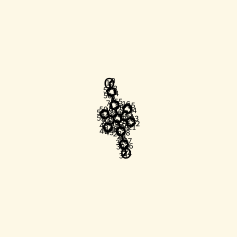 COc1ccc(-c2ccc(-c3c(-c4ccccc4)c(-c4ccccc4)c(-c4ccc(-c5ccc(OC)cc5)cc4)c(-c4ccccc4)c3-c3ccccc3)cc2)cc1